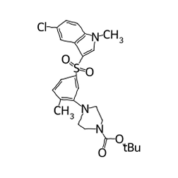 Cc1ccc(S(=O)(=O)c2cn(C)c3ccc(Cl)cc23)cc1N1CCN(C(=O)OC(C)(C)C)CC1